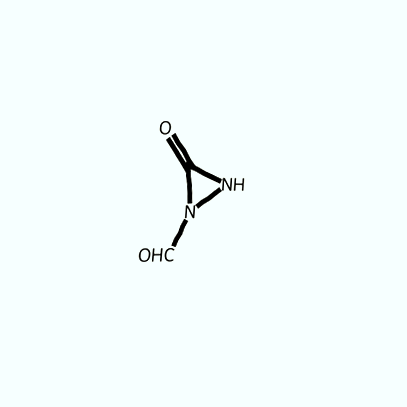 O=CN1NC1=O